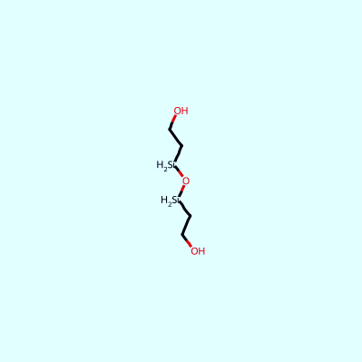 OCC[SiH2]O[SiH2]CCO